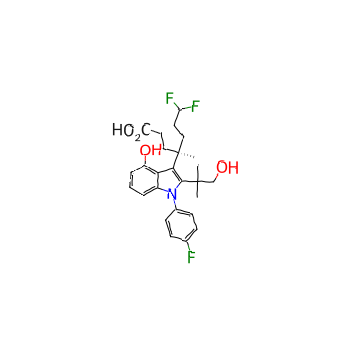 CC(C)(CO)c1c([C@@](C)(CCC(=O)O)CCC(F)F)c2c(O)cccc2n1-c1ccc(F)cc1